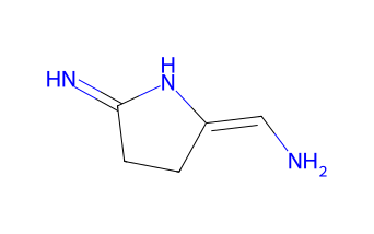 N=C1CC/C(=C\N)N1